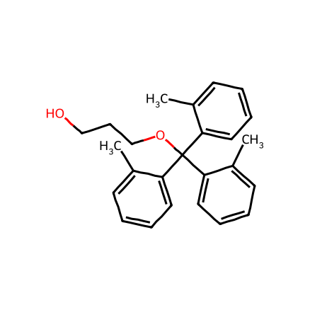 Cc1ccccc1C(OCCCO)(c1ccccc1C)c1ccccc1C